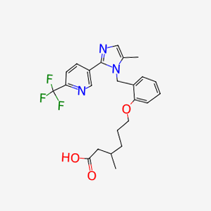 Cc1cnc(-c2ccc(C(F)(F)F)nc2)n1Cc1ccccc1OCCCC(C)CC(=O)O